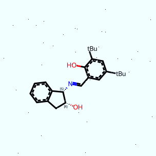 CC(C)(C)c1cc(C=N[C@H]2c3ccccc3C[C@H]2O)c(O)c(C(C)(C)C)c1